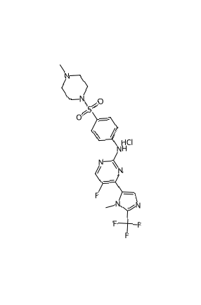 CN1CCN(S(=O)(=O)c2ccc(Nc3ncc(F)c(-c4cnc(C(F)(F)F)n4C)n3)cc2)CC1.Cl